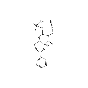 C[C@@H]1C(N=[N+]=[N-])[C@H](O[Si](C)(C)C(C)(C)C)OC2COC(c3ccccc3)O[C@H]21